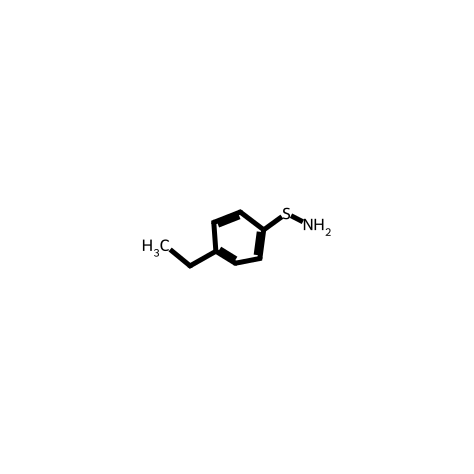 CCc1ccc(SN)cc1